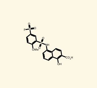 COc1ccc(S(=O)(=O)F)cc1S(=O)(=O)Nc1cccc2c(O)c(C(=O)O)ccc12